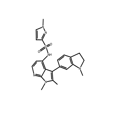 Cc1c(-c2ccc3c(c2)N(C)CC3)c2c(NS(=O)(=O)c3ccn(C)n3)ccnc2n1C